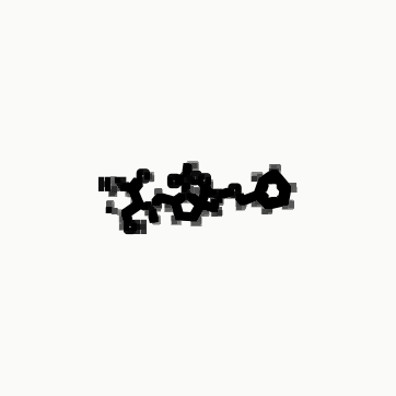 C[C@@H](O)[C@@H](C(N)=O)N(C)CC1CCC2(CN(OCc3ccccc3)C2=O)N1S(C)(=O)=O